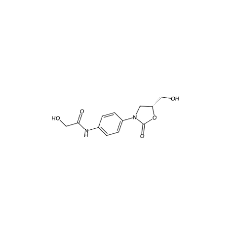 O=C(CO)Nc1ccc(N2C[C@H](CO)OC2=O)cc1